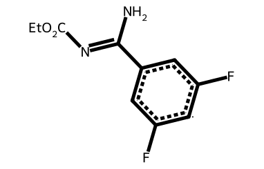 CCOC(=O)N=C(N)c1cc(F)[c]c(F)c1